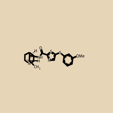 COc1cccc(Sc2cnc(C(=O)N[C@@H]3C4CCN(CC4)[C@H]3C)s2)c1